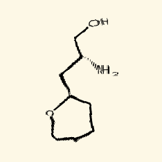 N[C@@H](CO)C[C@H]1CCCCO1